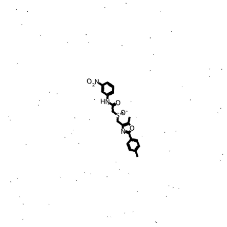 Cc1ccc(-c2nc(C[S+]([O-])CC(=O)Nc3cccc([N+](=O)[O-])c3)c(C)o2)cc1